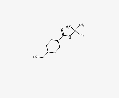 CC(C)(C)NC(=O)N1CCC(CO)CC1